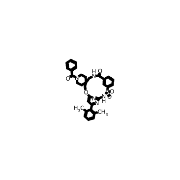 Cc1cccc(C)c1-c1cc2nc(n1)NS(=O)(=O)c1cccc(c1)C(=O)NCC1(CCN(C(=O)c3ccccc3)CC1)CO2